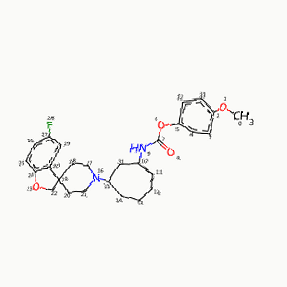 COc1ccc(OC(=O)NC2CCCCC(N3CCC4(CC3)COc3ccc(F)cc34)C2)cc1